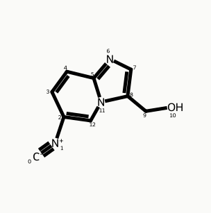 [C-]#[N+]c1ccc2ncc(CO)n2c1